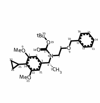 COc1cc([C@@H](C)N(CCOCc2ccccc2)C(=O)OC(C)(C)C)cc(OC)c1C1CC1